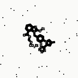 CCOC(=O)OCOC(=O)c1cccc2nc(OCC)n(Cc3ccc(-n4cc(C)cc4-c4nnn[nH]4)cc3)c12